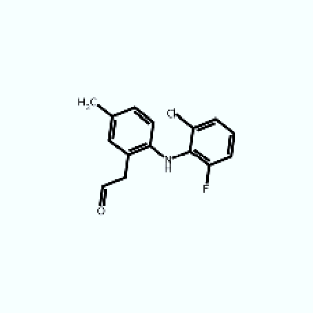 Cc1ccc(Nc2c(F)cccc2Cl)c(CC=O)c1